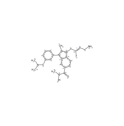 Cc1c(-c2cccc(SN(C)C)c2)c2cc(C(=O)N(C)C(C)C)ccc2n1C/C(F)=C/CN